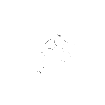 CN(C)CCCN(C)c1ccc(C(=O)OC(C)(C)C)c(N(C(=O)C(F)(F)F)C2CCOCC2)c1